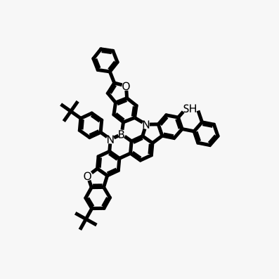 Cc1ccccc1-c1cc2c3ccc4c5c3n(c2cc1S)-c1cc2oc(-c3ccccc3)cc2cc1B5N(c1ccc(C(C)(C)C)cc1)c1cc2oc3cc(C(C)(C)C)ccc3c2cc1-4